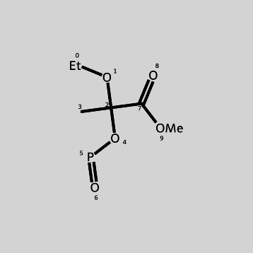 CCOC(C)(OP=O)C(=O)OC